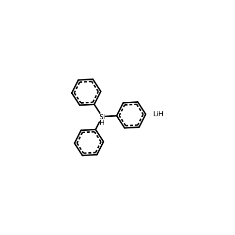 [LiH].c1ccc([SiH](c2ccccc2)c2ccccc2)cc1